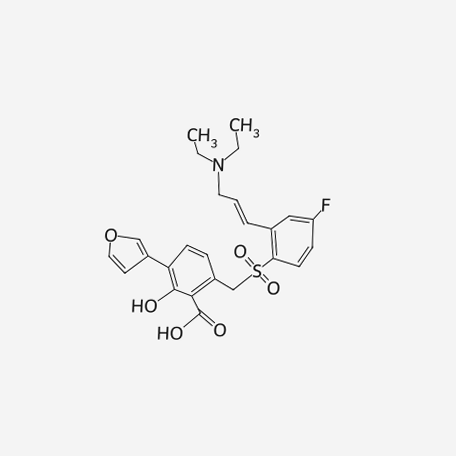 CCN(CC)CC=Cc1cc(F)ccc1S(=O)(=O)Cc1ccc(-c2ccoc2)c(O)c1C(=O)O